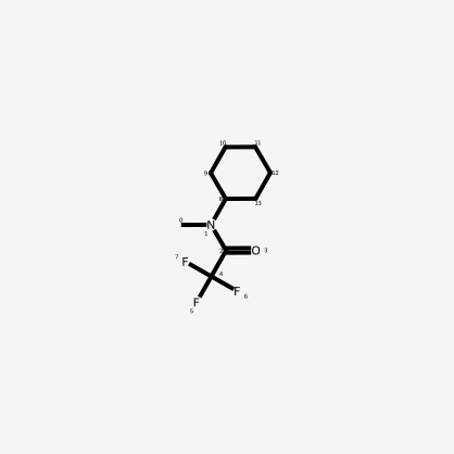 CN(C(=O)C(F)(F)F)C1CCCCC1